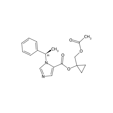 CC(=O)OCC1(OC(=O)c2cncn2[C@H](C)c2ccccc2)CC1